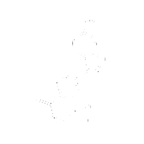 COc1ccc2c(-c3ccc4c(c3)C(C)(C)CNC4=O)c[nH]c2n1